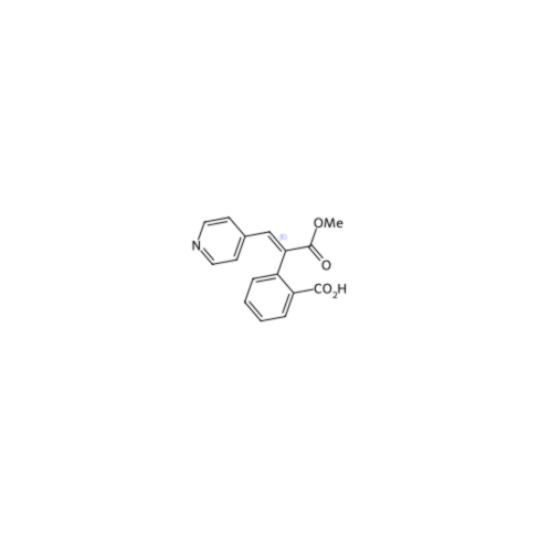 COC(=O)/C(=C/c1ccncc1)c1ccccc1C(=O)O